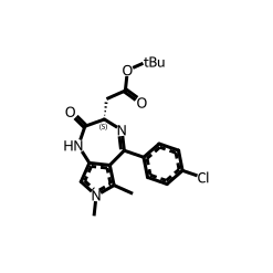 Cc1c2c(cn1C)NC(=O)[C@H](CC(=O)OC(C)(C)C)N=C2c1ccc(Cl)cc1